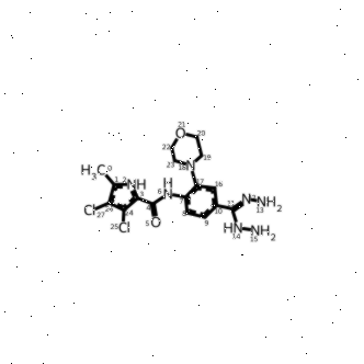 Cc1[nH]c(C(=O)Nc2ccc(/C(=N/N)NN)cc2N2CCOCC2)c(Cl)c1Cl